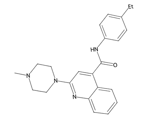 CCc1ccc(NC(=O)c2cc(N3CCN(C)CC3)nc3ccccc23)cc1